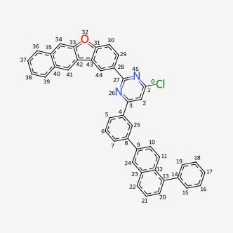 Clc1cc(-c2cccc(-c3ccc4c(-c5ccccc5)cccc4c3)c2)nc(-c2ccc3oc4cc5ccccc5cc4c3c2)n1